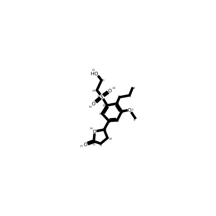 CCCc1c(OC)cc(C2CCC(=O)O2)cc1S(=O)(=O)CCO